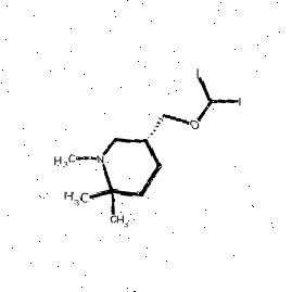 CN1C[C@H](COC(I)I)CCC1(C)C